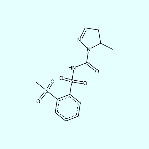 CC1CC=NN1C(=O)NS(=O)(=O)c1ccccc1S(C)(=O)=O